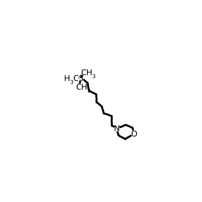 CS(C)(C)CCCCCCCCN1CCOCC1